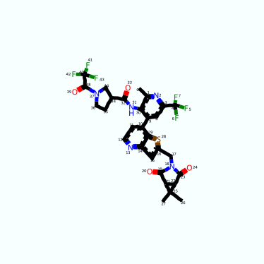 Cc1nc(C(F)(F)F)cc(-c2ccnc3cc(CN4C(=O)C5C(C4=O)C5(C)C)sc23)c1NC(=O)C1CCN(C(=O)C(F)(F)F)C1